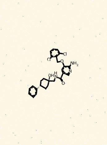 Nc1ncc(C(=O)NC[C@]2(O)CC[C@H](c3ccccc3)CC2)cc1OCc1c(Cl)cccc1Cl